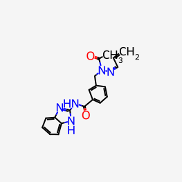 C=C/C=N\N(Cc1cccc(C(=O)Nc2nc3ccccc3[nH]2)c1)C(C)=O